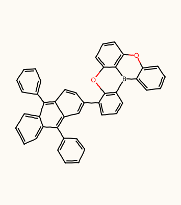 c1ccc(-c2c3ccccc3c(-c3ccccc3)c3cc(-c4cccc5c4Oc4cccc6c4B5c4ccccc4O6)ccc23)cc1